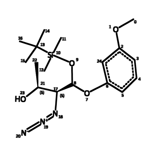 COc1cccc(OC(O[Si](C)(C)C(C)(C)C)[C@@H](N=[N+]=[N-])[C@H](C)O)c1